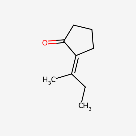 CCC(C)=C1CCCC1=O